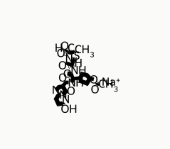 CC(=O)Oc1ccc(C(NC(=O)c2cnc3ccc(O)nn3c2=O)C(=O)N[C@@H]2C(=O)N3[C@@H]2SC(C)(C)[C@@H]3C(=O)[O-])cc1.[Na+]